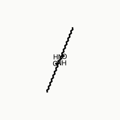 CCCCCCCCCCCCCCCC(=O)NCCNC(=O)CCCCCCCCCCCCCCC